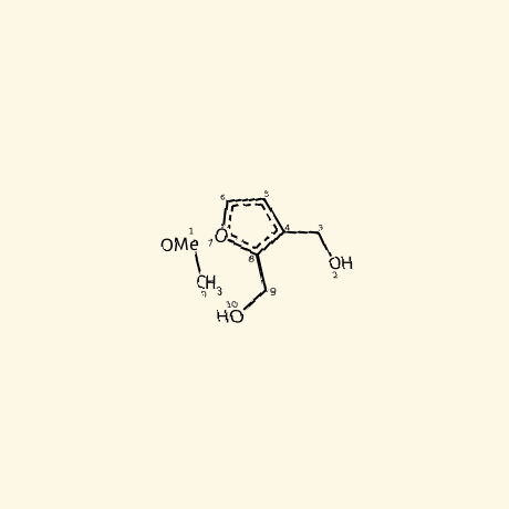 COC.OCc1ccoc1CO